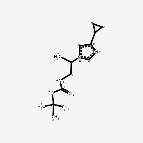 CC(CNC(=O)OC(C)(C)C)n1cnc(C2CC2)c1